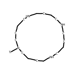 [Ti][N]1CCCCNCCCCNCCCCNCCCC1